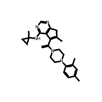 C=C(C1=C(C)Cc2ncnc(NC3(C)CC3)c21)N1CCN(c2ccc(C)cc2C)CC1